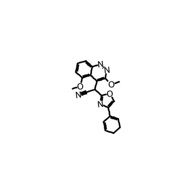 COc1nnc2cccc(OC)c2c1C(C#N)c1nc(C2=CCCC=C2)co1